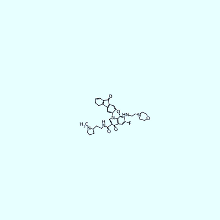 CN1CCCC1CCNC(=O)c1cn2c3cc4c5c(c(=O)c4cc3oc3c(NCCN4CCOCC4)c(F)cc(c1=O)c32)C=CCC5